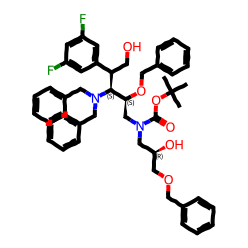 CC(C)(C)OC(=O)N(C[C@@H](O)COCc1ccccc1)C[C@H](OCc1ccccc1)[C@H](C(CO)c1cc(F)cc(F)c1)N(Cc1ccccc1)Cc1ccccc1